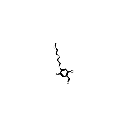 COCCOCCOc1cc(Cl)c(C=O)cc1F